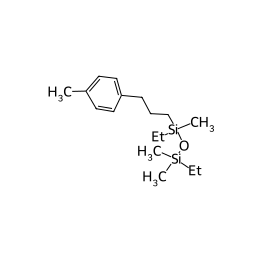 CC[Si](C)(C)O[Si](C)(CC)CCCc1ccc(C)cc1